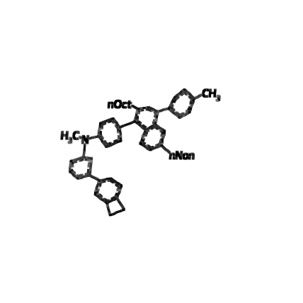 CCCCCCCCCc1ccc2c(-c3ccc(N(C)c4cccc(-c5ccc6c(c5)CC6)c4)cc3)c(CCCCCCCC)cc(-c3ccc(C)cc3)c2c1